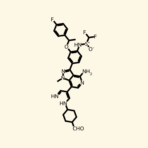 CC(Oc1cc(-c2nn(C)c3c(/C(C=N)=C/NC4CCC(C=O)CC4)cnc(N)c23)ccc1N[S+]([O-])C(F)F)c1ccc(F)cc1